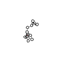 c1ccc(-n2c3ccccc3c3cc(-c4cccc(-c5ccc6c(c5)c5ccc7c(c5n6-c5ccccc5)C5(c6ccccc6-c6ccccc65)c5ccccc5-7)c4)ccc32)cc1